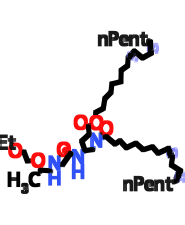 CCCCC/C=C\C/C=C\CCCCCCCCOC(=O)C1CC(NC(=O)CNCC(C)OCCOCC)CN1C(=O)CCCCCCC/C=C\C/C=C\CCCCC